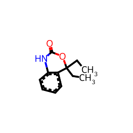 CCC1(CC)OC(=O)Nc2ccccc21